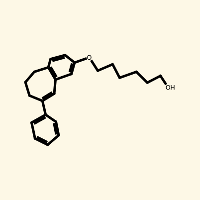 OCCCCCCOc1ccc2c(c1)C=C(c1ccccc1)CCC2